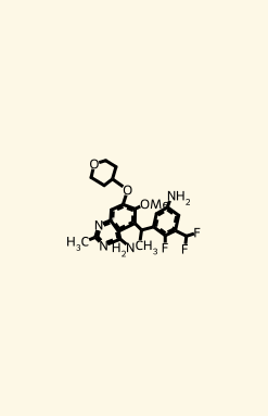 COc1c(OC2CCOCC2)cc2nc(C)nc(N)c2c1C(C)c1cc(N)cc(C(F)F)c1F